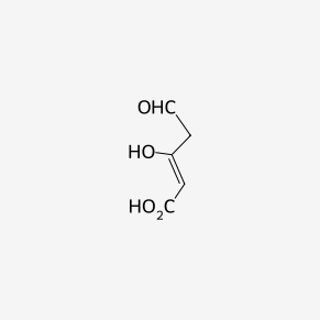 O=CCC(O)=CC(=O)O